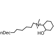 CCCCCCCCCCCCCCCC[N+](C)(C)C1CCCCC1O